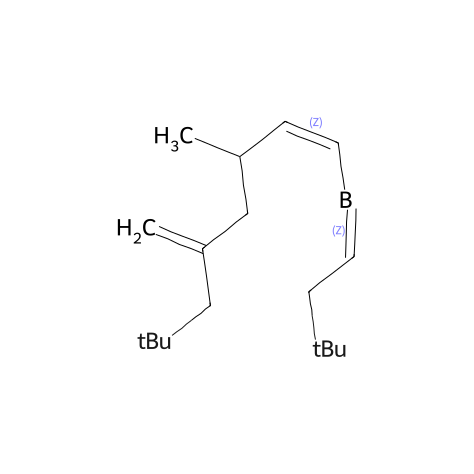 C=C(CC(C)/C=C\B=C/CC(C)(C)C)CC(C)(C)C